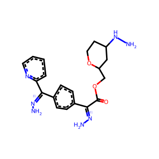 N/N=C(/C(=O)OCC1CC(NN)CCO1)c1ccc(/C(=N\N)c2ccccn2)cc1